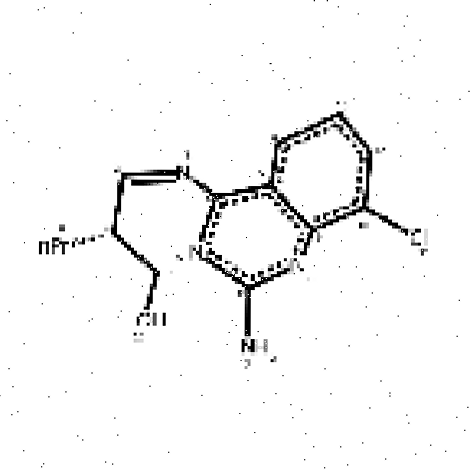 CCC[C@H](/C=N\c1nc(N)nc2c(Cl)cccc12)CO